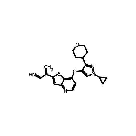 C=C(C=N)c1cc2nccc(Oc3cn(C4CC4)nc3C3CCOCC3)c2s1